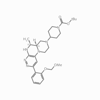 COCOc1ccccc1-c1cc2c(nn1)N[C@@H](C)[C@@H]1CN(C3CCN(C(=O)OC(C)(C)C)CC3)CCN21